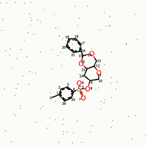 Cc1ccc(S(=O)(=O)OC2COC3COC(c4ccccc4)OC3C2)cc1